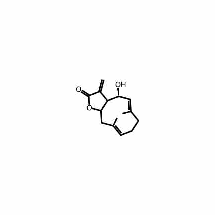 C=C1C(=O)OC2C/C(C)=C/CC/C(C)=C/[C@H](O)C12